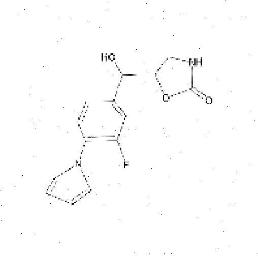 O=C1NCC(C(O)c2ccc(-n3cccc3)c(F)c2)O1